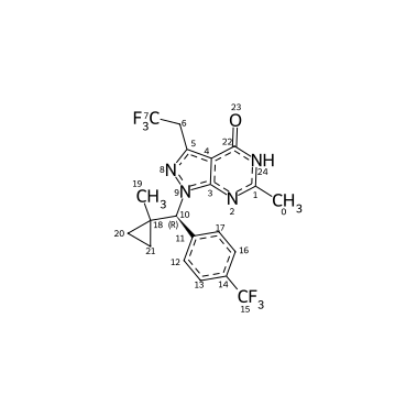 Cc1nc2c(c(CC(F)(F)F)nn2[C@@H](c2ccc(C(F)(F)F)cc2)C2(C)CC2)c(=O)[nH]1